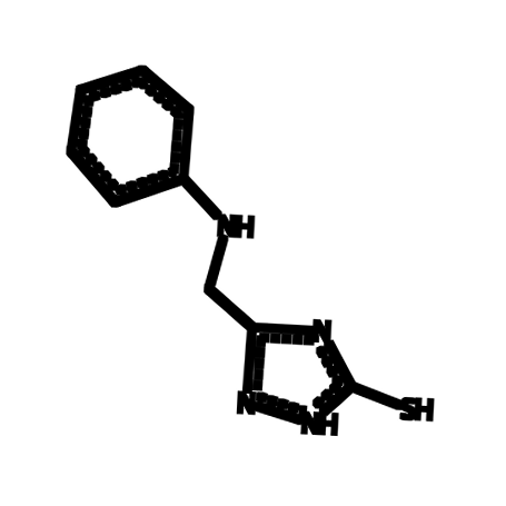 Sc1nc(CNc2ccccc2)n[nH]1